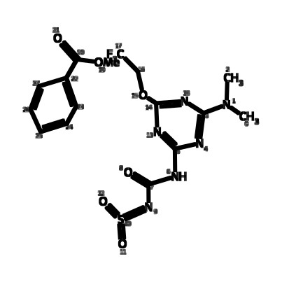 CN(C)c1nc(NC(=O)N=S(=O)=O)nc(OCC(F)(F)F)n1.COC(=O)c1ccccc1